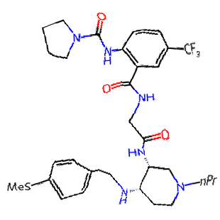 CCCN1CC[C@H](NCc2ccc(SC)cc2)[C@H](NC(=O)CNC(=O)c2cc(C(F)(F)F)ccc2NC(=O)N2CCCC2)C1